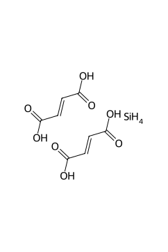 O=C(O)C=CC(=O)O.O=C(O)C=CC(=O)O.[SiH4]